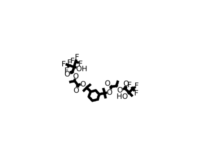 CC(OC(=O)C(C)(O)C(F)(F)F)C(=O)OC(C)(C)C1CCCC(C(C)(C)OC(=O)C(C)OC(=O)C(O)(C(F)(F)F)C(F)(F)F)C1